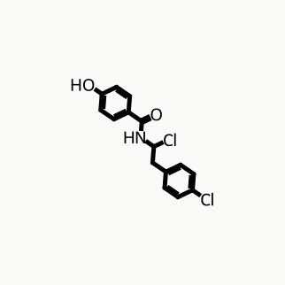 O=C(NC(Cl)Cc1ccc(Cl)cc1)c1ccc(O)cc1